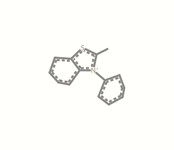 Cc1sc2ccccc2[n+]1-c1ccccc1